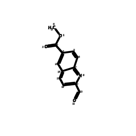 COC(=O)c1ccc2nc(C=O)ccc2c1